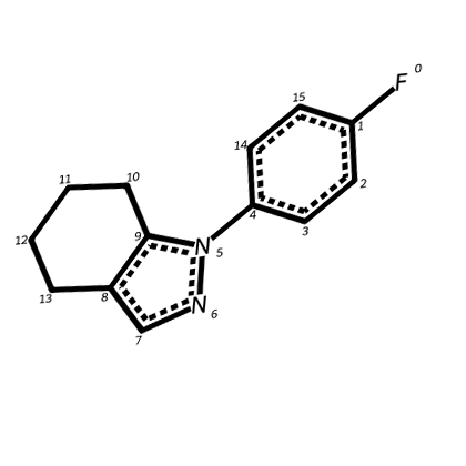 Fc1ccc(-n2ncc3c2CCCC3)cc1